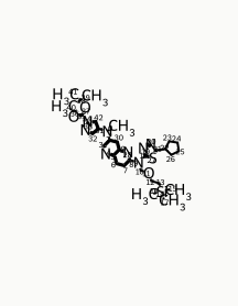 CN(c1cnc2ccc(N(COCC[Si](C)(C)C)c3nnc(C4CCCC4)s3)nc2c1)c1cnn(C(=O)OC(C)(C)C)c1